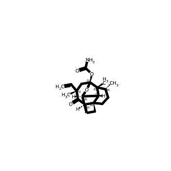 C=C[C@]1(C)C[C@@]2(OC(N)=O)O[C@@H]3C4C[C@@]5(CC[C@@H](C)[C@]2(C)[C@@H]35)[C@@H]4C1=O